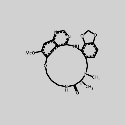 COc1cc2ncnc3c2cc1OCCCNC(=O)[C@H](C)N(C)Cc1ccc2c(c1N3)OCO2